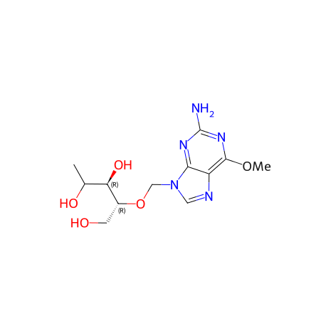 COc1nc(N)nc2c1ncn2CO[C@H](CO)[C@H](O)C(C)O